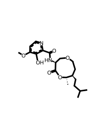 COc1ccnc(C(=O)N[C@H]2COCC[C@@H](CCC(C)C)[C@H](C)OC2=O)c1O